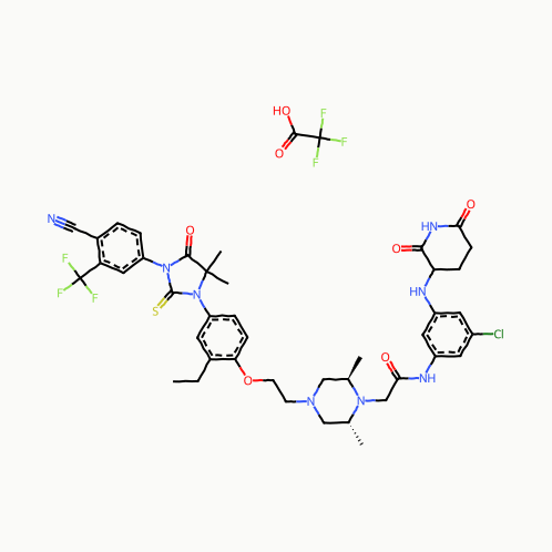 CCc1cc(N2C(=S)N(c3ccc(C#N)c(C(F)(F)F)c3)C(=O)C2(C)C)ccc1OCCN1C[C@@H](C)N(CC(=O)Nc2cc(Cl)cc(NC3CCC(=O)NC3=O)c2)[C@H](C)C1.O=C(O)C(F)(F)F